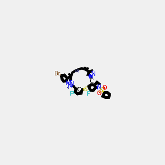 Cn1nc2nc1-c1cc(ccc1F)Sc1c(F)cc3c(ccn3S(=O)(=O)c3ccccc3)c1Cn1cc(cn1)C(C)(C)C/C=C\CC2(C)c1cccc(Br)c1